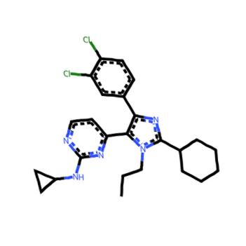 CCCn1c(C2CCCCC2)nc(-c2ccc(Cl)c(Cl)c2)c1-c1ccnc(NC2CC2)n1